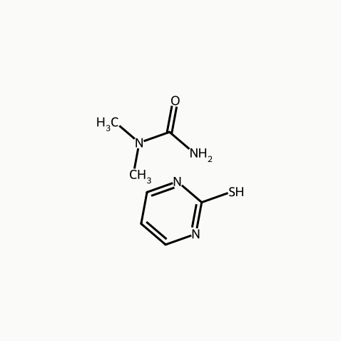 CN(C)C(N)=O.Sc1ncccn1